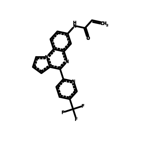 C=CC(=O)Nc1ccc2c(c1)nc(-c1ccc(C(F)(F)F)cn1)c1cccn12